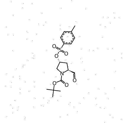 Cc1ccc(S(=O)(=O)O[C@@H]2C[C@@H](C=O)N(C(=O)OC(C)(C)C)C2)cc1